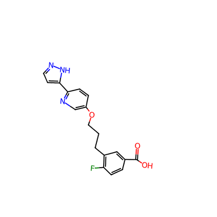 O=C(O)c1ccc(F)c(CCCOc2ccc(-c3ccn[nH]3)nc2)c1